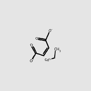 C[CH2][Gd+2].O=C([O-])/C=C\C(=O)[O-]